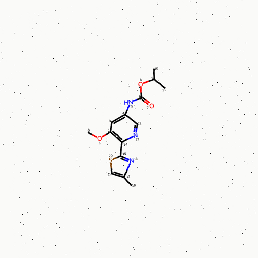 COc1cc(NC(=O)OC(C)C)cnc1-c1nc(C)cs1